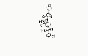 O=C([C@H](O)c1cccc(Cl)c1)N1CCc2nc(C3(c4cncc(C5CCOCC5)c4)CC3)[nH]c(=O)c2C1